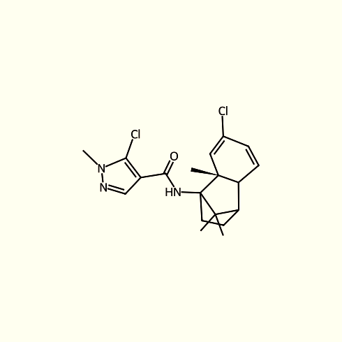 Cn1ncc(C(=O)NC23CCC(C4C=CC(Cl)=C[C@]42C)C3(C)C)c1Cl